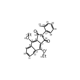 CCOc1c2c(c(OCC)c3ccccc13)C(=O)N(c1cc[c]cc1C)C2=O